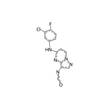 O=C=Nc1cnn2ccc(Nc3ccc(F)c(Cl)c3)nc12